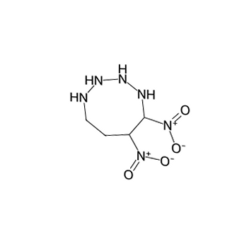 O=[N+]([O-])C1CCNNNNC1[N+](=O)[O-]